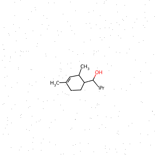 CC1=CC(C)C(C(O)C(C)C)CC1